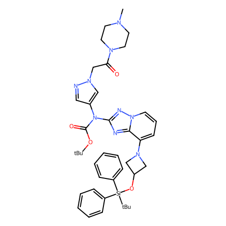 CN1CCN(C(=O)Cn2cc(N(C(=O)OC(C)(C)C)c3nc4c(N5CC(O[Si](c6ccccc6)(c6ccccc6)C(C)(C)C)C5)cccn4n3)cn2)CC1